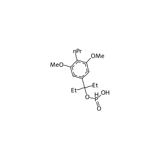 CCCc1c(OC)cc(C(CC)(CC)O[PH](=O)O)cc1OC